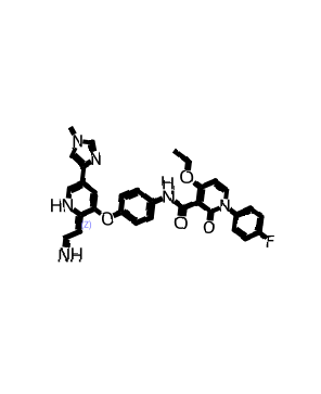 CCOc1ccn(-c2ccc(F)cc2)c(=O)c1C(=O)Nc1ccc(OC2=CC(c3cn(C)cn3)=CN/C2=C\C=N)cc1